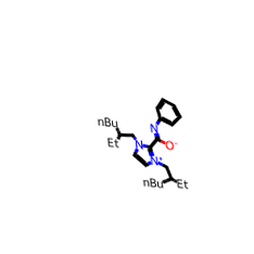 CCCCC(CC)Cn1cc[n+](CC(CC)CCCC)c1/C([O-])=N/c1ccccc1